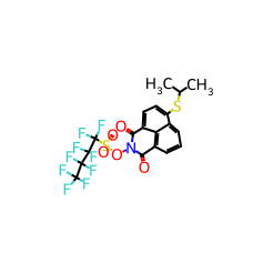 CC(C)Sc1ccc2c3c(cccc13)C(=O)N(OS(=O)(=O)C(F)(F)C(F)(F)C(F)(F)C(F)(F)F)C2=O